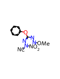 CON=NC(=NN(C#N)[N+](=O)[O-])Oc1ccccc1